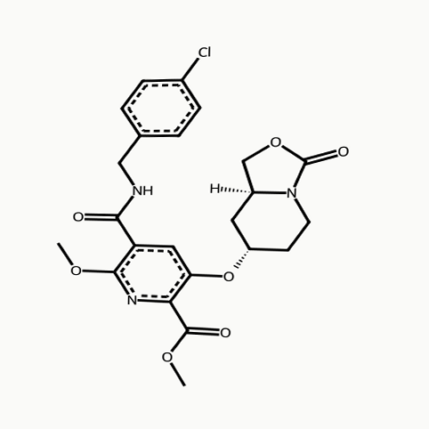 COC(=O)c1nc(OC)c(C(=O)NCc2ccc(Cl)cc2)cc1O[C@H]1CCN2C(=O)OC[C@@H]2C1